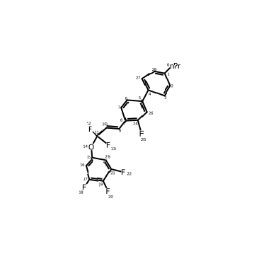 CCCc1ccc(-c2ccc(/C=C/C(F)(F)Oc3cc(F)c(F)c(F)c3)c(F)c2)cc1